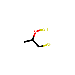 CC(CS)OS